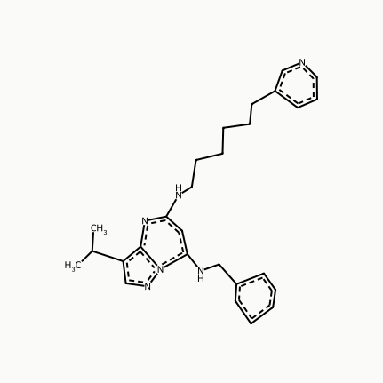 CC(C)c1cnn2c(NCc3ccccc3)cc(NCCCCCCc3cccnc3)nc12